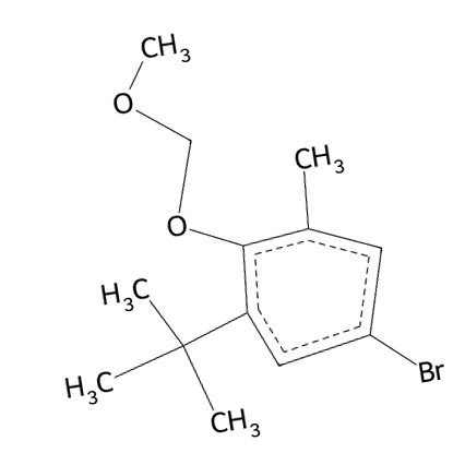 COCOc1c(C)cc(Br)cc1C(C)(C)C